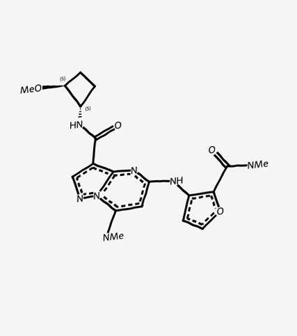 CNC(=O)c1occc1Nc1cc(NC)n2ncc(C(=O)N[C@H]3CC[C@@H]3OC)c2n1